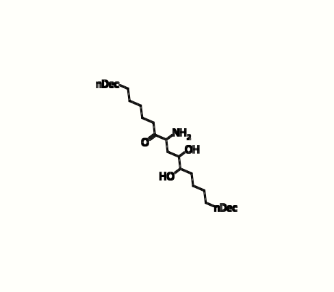 CCCCCCCCCCCCCCCC(=O)C(N)CC(O)C(O)CCCCCCCCCCCCCC